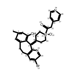 Cc1cc(O)c2c(c1)CCc1cc(Br)cnc1C2=C1CC[N+]([O-])(C(=O)Cc2ccncc2)CC1